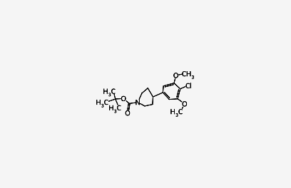 COc1cc(C2CCN(C(=O)OC(C)(C)C)CC2)cc(OC)c1Cl